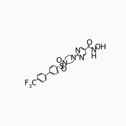 O=C(NO)c1cnc(N2CCN(S(=O)(=O)c3ccc(-c4ccc(C(F)(F)F)cc4)cc3)CC2)nc1